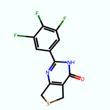 O=c1[nH]c(-c2cc(F)c(F)c(F)c2)nc2c1CSC2